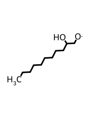 CCCCCCCCCC(O)C[O]